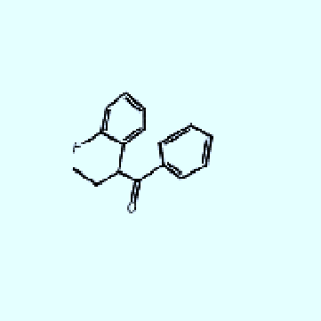 CCC(C(=O)c1ccccc1)c1ccccc1F